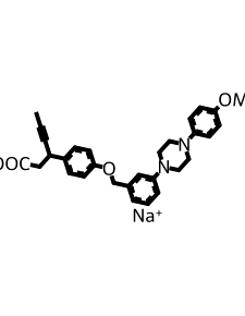 CC#CC(CC(=O)[O-])c1ccc(OCc2cccc(N3CCN(c4ccc(OC)cc4)CC3)c2)cc1.[Na+]